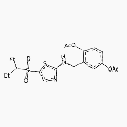 CCC(CC)S(=O)(=O)c1cnc(NCc2cc(OC(C)=O)ccc2OC(C)=O)s1